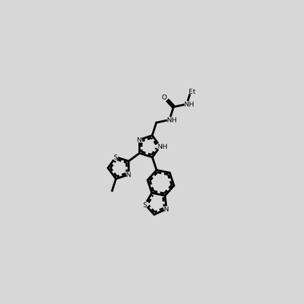 CCNC(=O)NCc1nc(-c2nc(C)cs2)c(-c2ccc3ncsc3c2)[nH]1